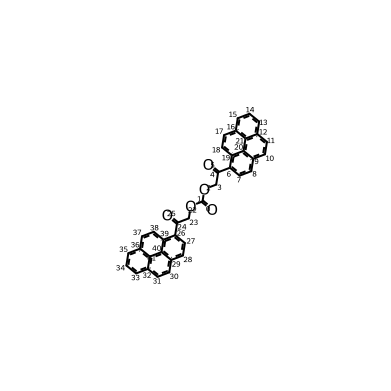 O=C(OCC(=O)c1ccc2ccc3cccc4ccc1c2c34)OCC(=O)c1ccc2ccc3cccc4ccc1c2c34